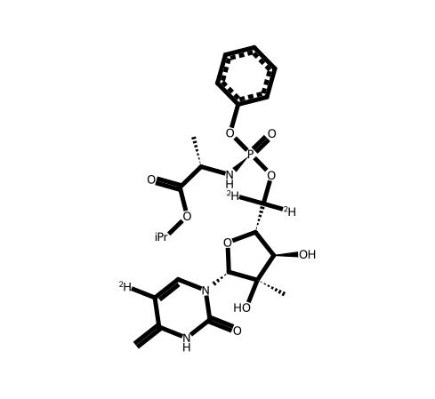 [2H]C1=CN([C@@H]2O[C@H](C([2H])([2H])O[P@](=O)(N[C@@H](C)C(=O)OC(C)C)Oc3ccccc3)[C@@H](O)[C@@]2(C)O)C(=O)NC1=C